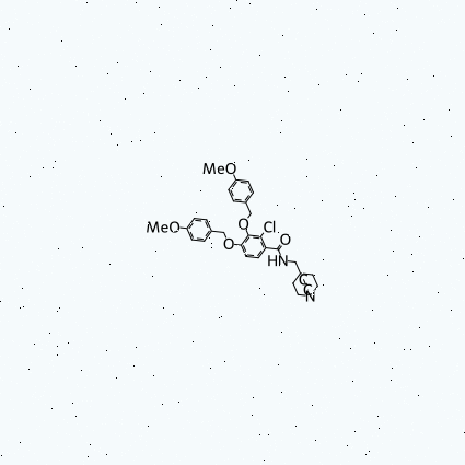 COc1ccc(COc2ccc(C(=O)NCC34CCN(CC3)CC4)c(Cl)c2OCc2ccc(OC)cc2)cc1